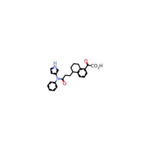 O=C(O)C(=O)c1cccc2c1CCCC2CCC(=O)N(c1ccccc1)c1cc[nH]c1